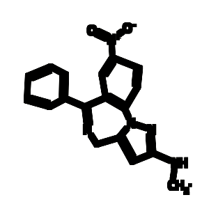 [CH2]Nc1cc2n(n1)-c1ccc([N+](=O)[O-])cc1C(c1ccccc1)=NC2